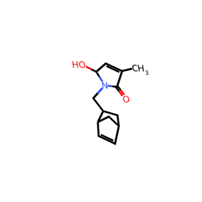 CC1=CC(O)N(CC2CC3C=CC2C3)C1=O